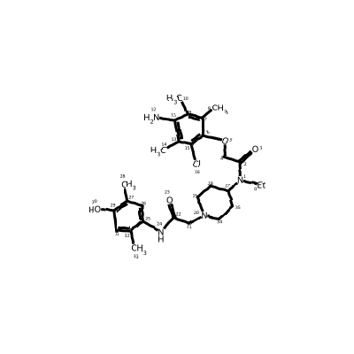 CCN(C(=O)COc1c(C)c(C)c(N)c(C)c1Cl)C1CCN(CC(=O)Nc2cc(C)c(O)cc2C)CC1